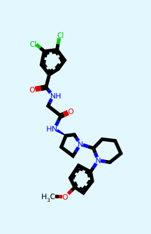 COc1ccc(N2CCCCC2N2CC[C@@H](NC(=O)CNC(=O)c3ccc(Cl)c(Cl)c3)C2)cc1